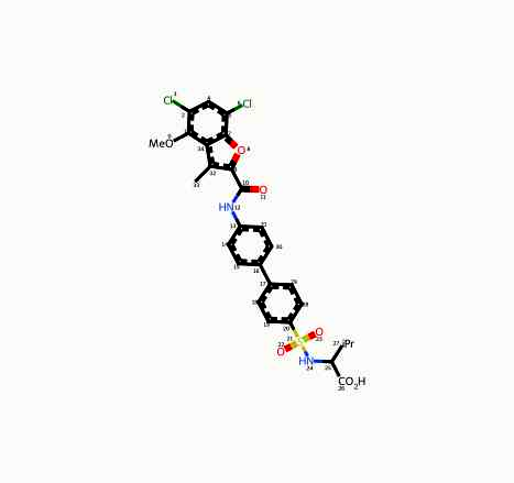 COc1c(Cl)cc(Cl)c2oc(C(=O)Nc3ccc(-c4ccc(S(=O)(=O)NC(C(=O)O)C(C)C)cc4)cc3)c(C)c12